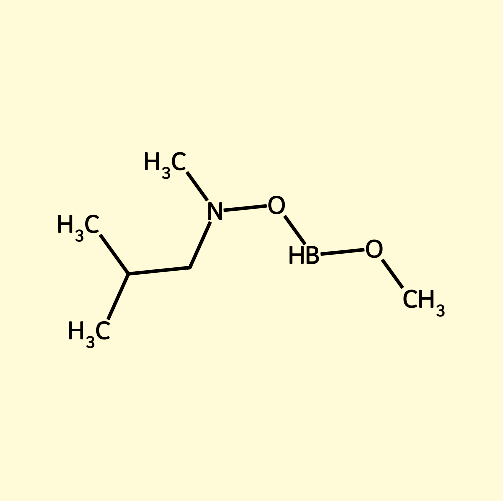 COBON(C)CC(C)C